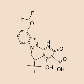 CC(C)(C)[C@H]1Cn2c(cc3c(OC(F)F)cccc32)-c2[nH]c(=O)c(C(=O)O)c(O)c21